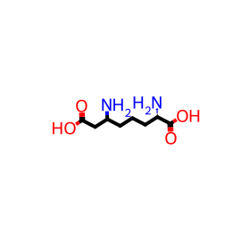 NC(CCC[C@H](N)C(=O)O)CC(=O)O